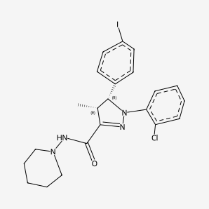 C[C@H]1C(C(=O)NN2CCCCC2)=NN(c2ccccc2Cl)[C@H]1c1ccc(I)cc1